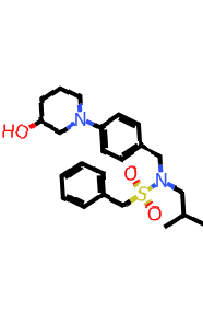 CC(C)CN(Cc1ccc(N2CCCC(O)C2)cc1)S(=O)(=O)Cc1ccccc1